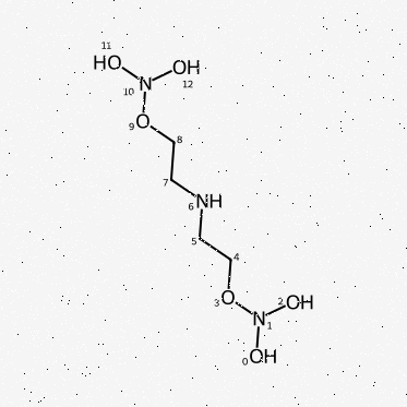 ON(O)OCCNCCON(O)O